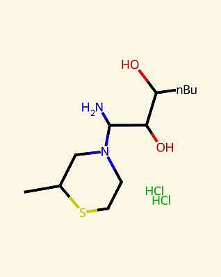 CCCCC(O)C(O)C(N)N1CCSC(C)C1.Cl.Cl